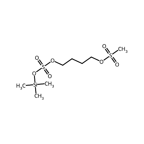 C[Si](C)(C)OS(=O)(=O)OCCCCOS(C)(=O)=O